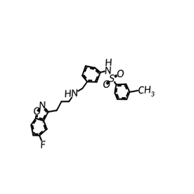 Cc1cccc(S(=O)(=O)Nc2cccc(CNCCCc3noc4ccc(F)cc34)c2)c1